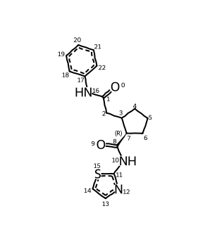 O=C(CC1CCC[C@H]1C(=O)Nc1nccs1)Nc1ccccc1